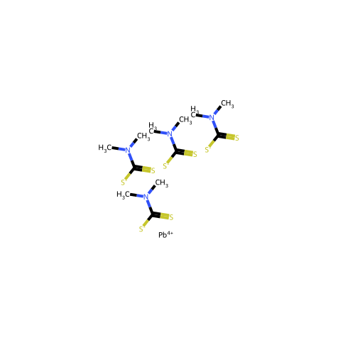 CN(C)C(=S)[S-].CN(C)C(=S)[S-].CN(C)C(=S)[S-].CN(C)C(=S)[S-].[Pb+4]